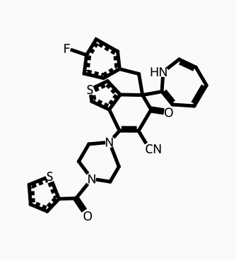 N#CC1=C(N2CCN(C(=O)c3cccs3)CC2)c2cscc2C(Cc2ccc(F)cc2)(C2=CC=CC=CN2)C1=O